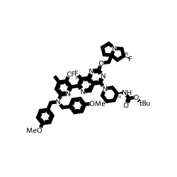 COc1ccc(CN(Cc2ccc(OC)cc2)c2cc(C)c(C(F)(F)F)c(-c3ncc4c(N5CCC[C@H](NC(=O)OC(C)(C)C)C5)nc(OCC56CCCN5C[C@H](F)C6)nc4c3F)n2)cc1